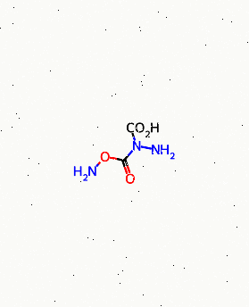 NOC(=O)N(N)C(=O)O